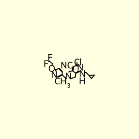 Cc1nc(OCC(F)F)ccc1CN1CCc2c(NCC3CC3)nc(Cl)c(C#N)c2C1